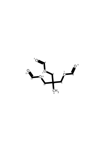 CC(COC=O)(COC=O)COC=O